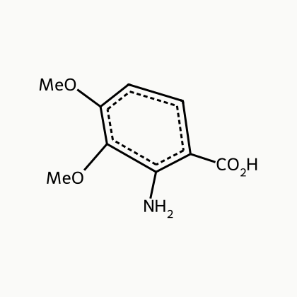 COc1ccc(C(=O)O)c(N)c1OC